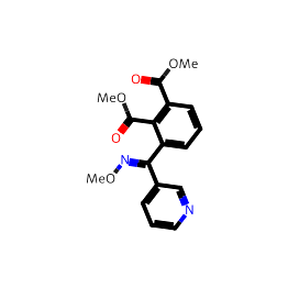 CON=C(c1cccnc1)c1cccc(C(=O)OC)c1C(=O)OC